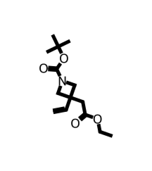 C=CC1(CC(=O)OCC)CN(C(=O)OC(C)(C)C)C1